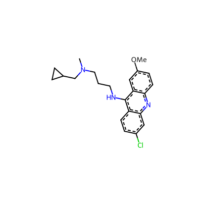 COc1ccc2nc3cc(Cl)ccc3c(NCCCN(C)CC3CC3)c2c1